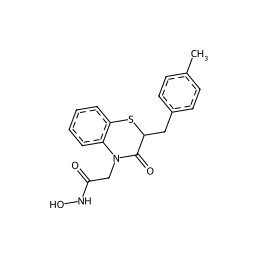 Cc1ccc(CC2Sc3ccccc3N(CC(=O)NO)C2=O)cc1